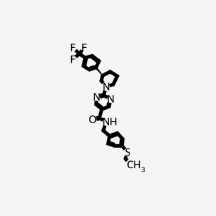 CCSc1ccc(CNC(=O)c2cnc(N3CCC[C@H](c4ccc(C(F)(F)F)cc4)C3)nc2)cc1